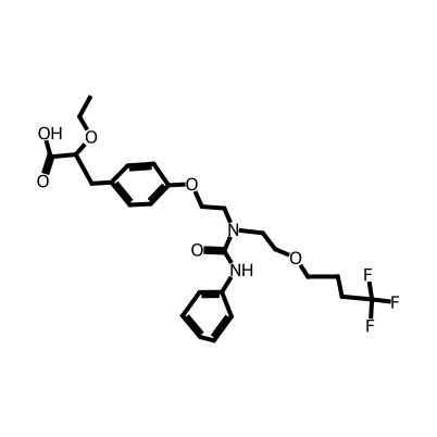 CCOC(Cc1ccc(OCCN(CCOCCCC(F)(F)F)C(=O)Nc2ccccc2)cc1)C(=O)O